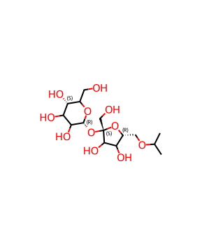 CC(C)OC[C@H]1O[C@@](CO)(O[C@H]2OC(CO)[C@@H](O)C(O)C2O)C(O)C1O